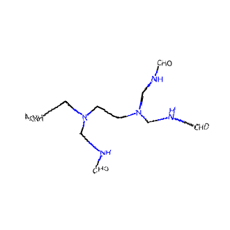 CC(=O)NCN(CCN(CNC=O)CNC=O)CNC=O